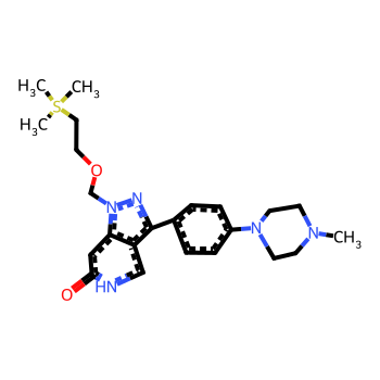 CN1CCN(c2ccc(-c3nn(COCCS(C)(C)C)c4cc(=O)[nH]cc34)cc2)CC1